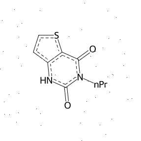 CCCn1c(=O)[nH]c2ccsc2c1=O